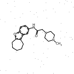 CN1CCN(CC(=O)Nc2ccc3oc4c(c3c2)CCCCC4)CC1